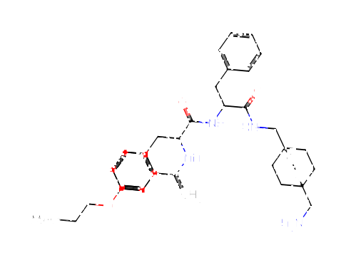 C=C(NC(Cc1ccc(OCCOC)cc1)C(=O)NC(Cc1ccccc1)C(=O)NCC12CCC(CN)(CC1)CC2)c1ccccc1